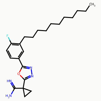 CCCCCCCCCCCc1cc(-c2nnc(C3(C(=N)N)CC3)o2)ccc1F